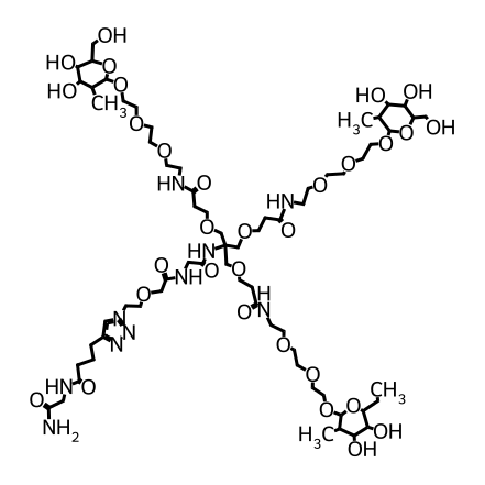 CCC1OC(OCCOCCOCCNC(=O)CCOCC(COCCC(=O)NCCOCCOCCOC2OC(CO)C(O)C(O)C2C)(COCCC(=O)NCCOCCOCCOC2OC(CO)C(O)C(O)C2C)NC(=O)CNC(=O)COCCn2cc(CCCC(=O)NCC(N)=O)nn2)C(C)C(O)C1O